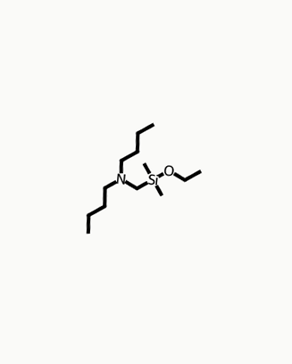 CCCCN(CCCC)C[Si](C)(C)OCC